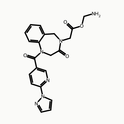 NCOC(=O)CN1Cc2ccccc2N(C(=O)c2ccc(-n3cccn3)nc2)CC1=O